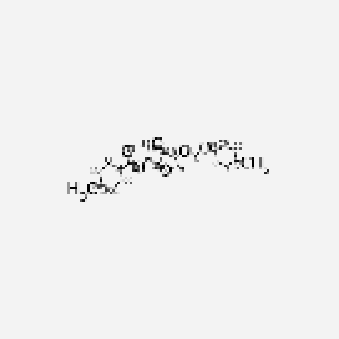 CC1CCC(OCOC2COC3C(OC(=O)C4CCC(C)CC4)COC23)CC1